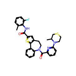 Cc1cccc(F)c1NC(=O)c1cc2c(s1)-c1ccccc1N(C(=O)c1cccc(N3CCSCC3C)n1)CC2